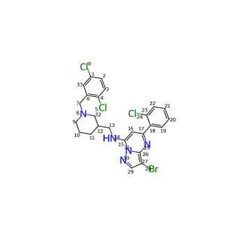 Clc1ccc(Cl)c(CN2CCCC(CNc3cc(-c4ccccc4Cl)nc4c(Br)cnn34)C2)c1